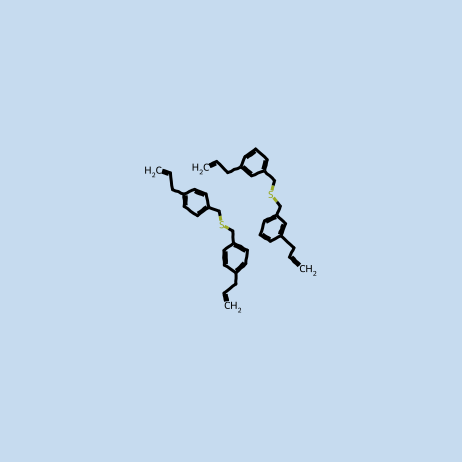 C=CCc1ccc(CSCc2ccc(CC=C)cc2)cc1.C=CCc1cccc(CSCc2cccc(CC=C)c2)c1